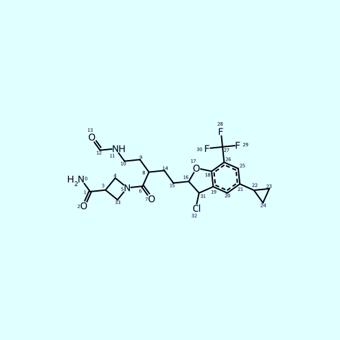 NC(=O)C1CN(C(=O)C(CCNC=O)CCC2Oc3c(cc(C4CC4)cc3C(F)(F)F)C2Cl)C1